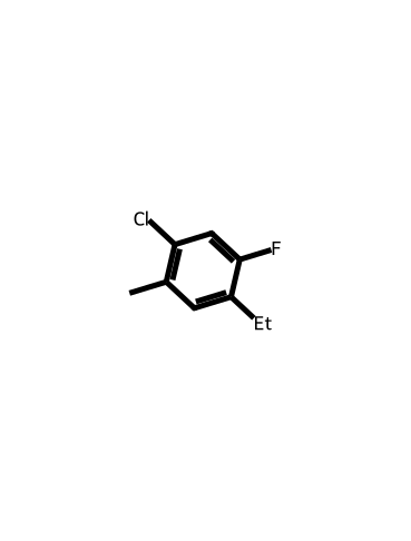 CCc1cc(C)c(Cl)cc1F